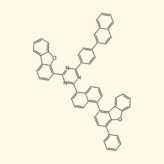 c1ccc(-c2ccc(-c3cccc4c(-c5nc(-c6ccc(-c7ccc8ccccc8c7)cc6)nc(-c6cccc7c6oc6ccccc67)n5)cccc34)c3c2oc2ccccc23)cc1